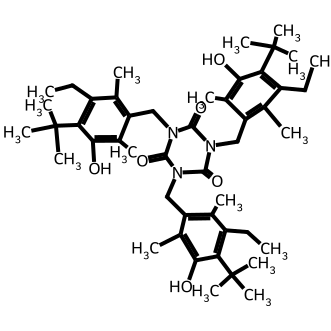 CCc1c(C)c(Cn2c(=O)n(Cc3c(C)c(O)c(C(C)(C)C)c(CC)c3C)c(=O)n(Cc3c(C)c(O)c(C(C)(C)C)c(CC)c3C)c2=O)c(C)c(O)c1C(C)(C)C